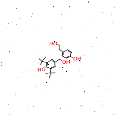 CC(C)(C)c1cc(CO)cc(C(C)(C)C)c1O.OCCc1ccc(O)cc1